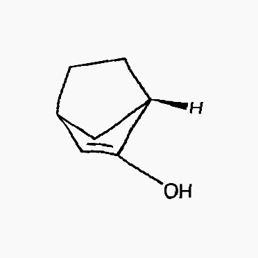 OC1=CC2CC[C@H]1C2